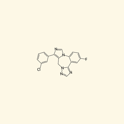 Fc1ccc2c(c1)-c1ncnn1Cc1c(-c3cccc(Cl)c3)ncn1-2